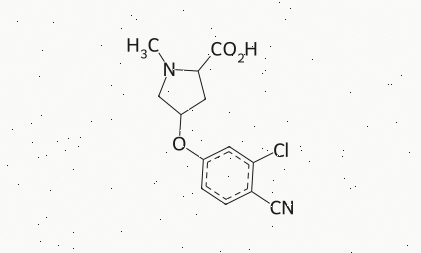 CN1CC(Oc2ccc(C#N)c(Cl)c2)CC1C(=O)O